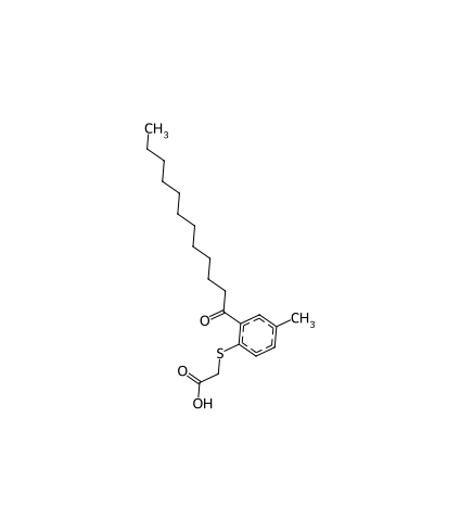 CCCCCCCCCCCC(=O)c1cc(C)ccc1SCC(=O)O